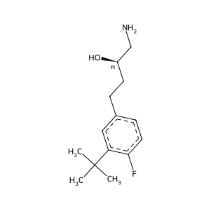 CC(C)(C)c1cc(CC[C@@H](O)CN)ccc1F